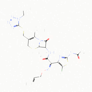 C=CCO/N=C(\C(=O)NC1C(=O)N2C(C(=O)O)=C(CSc3nnnn3CC(=O)O)CS[C@H]12)c1nc(NC(=O)C(F)(F)F)sc1Cl